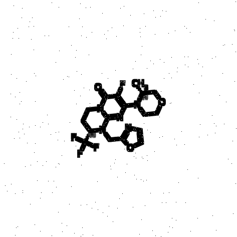 C[C@@H]1COCCN1c1nc2n(c(=O)c1F)CC[C@@H](C(F)(F)F)N2Cc1ncco1